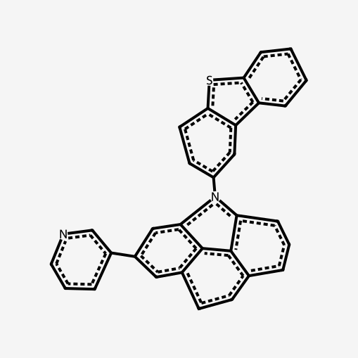 c1cncc(-c2cc3ccc4cccc5c4c3c(c2)n5-c2ccc3sc4ccccc4c3c2)c1